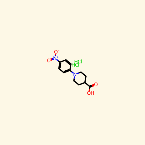 Cl.Cl.O=C(O)C1CCN(c2ccc([N+](=O)[O-])cc2)CC1